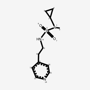 CN(C1CC1)S(=O)(=O)NCCc1ccncc1